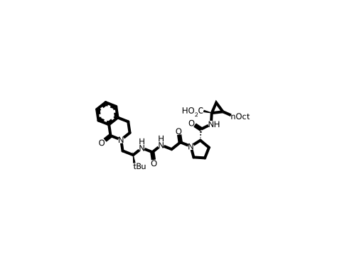 CCCCCCCCC1C[C@]1(NC(=O)[C@@H]1CCCN1C(=O)CNC(=O)N[C@H](CN1CCc2ccccc2C1=O)C(C)(C)C)C(=O)O